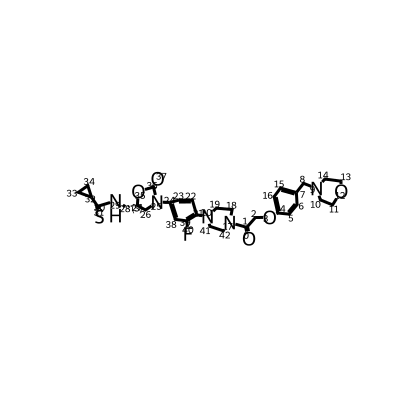 O=C(COc1ccc(CN2CCOCC2)cc1)N1CCN(c2ccc(N3C[C@H](CNC(=S)C4CC4)OC3=O)cc2F)CC1